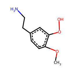 COc1ccc(CCN)cc1OO